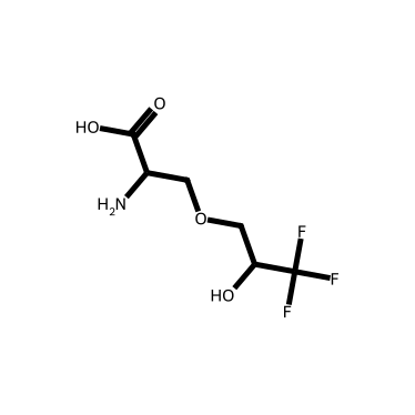 NC(COCC(O)C(F)(F)F)C(=O)O